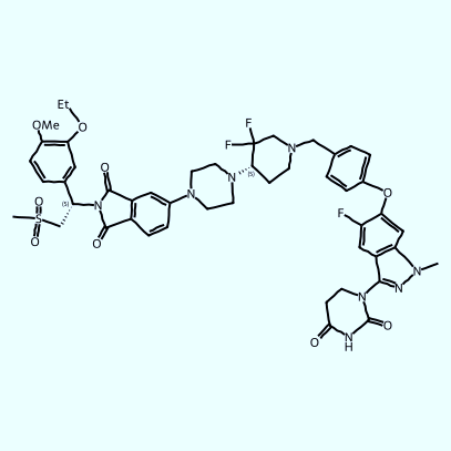 CCOc1cc([C@@H](CS(C)(=O)=O)N2C(=O)c3ccc(N4CCN([C@H]5CCN(Cc6ccc(Oc7cc8c(cc7F)c(N7CCC(=O)NC7=O)nn8C)cc6)CC5(F)F)CC4)cc3C2=O)ccc1OC